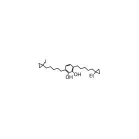 CCC1(CCCCCc2ccc(CCCCCC3(I)CC3)c(O)c2O)CC1